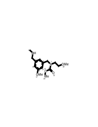 CBCc1cc(CN(CCOC)C(=O)OC(C)(C)C)cc(OC)c1